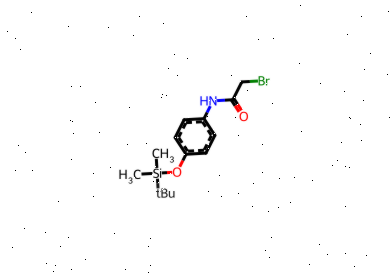 CC(C)(C)[Si](C)(C)Oc1ccc(NC(=O)CBr)cc1